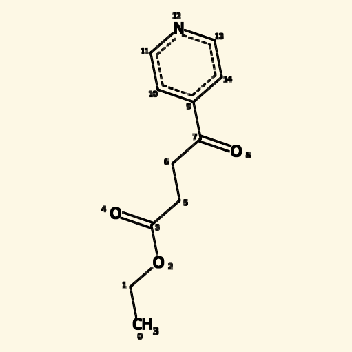 CCOC(=O)CCC(=O)c1ccncc1